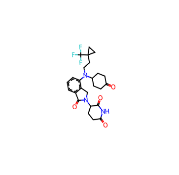 O=C1CCC(N(CCC2(C(F)(F)F)CC2)c2cccc3c2CN(C2CCC(=O)NC2=O)C3=O)CC1